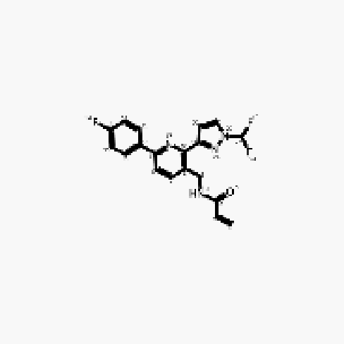 C=CC(=O)NCc1ccc(-c2ccc(F)cc2)nc1-c1ccn(C(F)F)n1